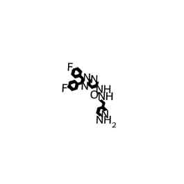 Nc1ccc(CCNC(=O)Nc2cnc3nc(-c4ccc(F)cc4)c(-c4ccc(F)cc4)nc3c2)cn1